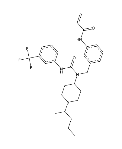 C=CC(=O)Nc1cccc(CN(C(=O)Nc2cccc(C(F)(F)F)c2)C2CCN(C(C)CCC)CC2)c1